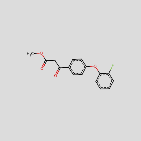 COC(=O)CC(=O)c1ccc(Oc2ccccc2F)cc1